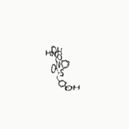 O=C(CN1C(=O)C(Cc2ccc(O)cc2)Sc2ccccc21)NO